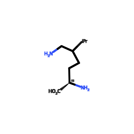 CC(C)C(CN)CC[C@H](N)C(=O)O